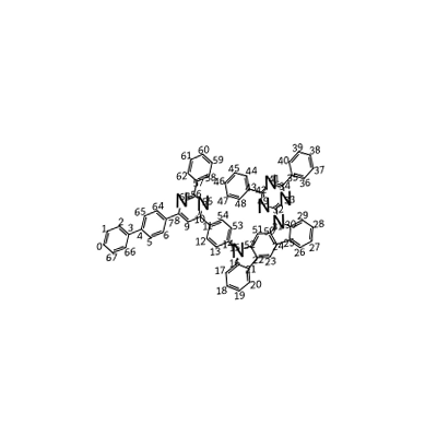 c1ccc(-c2ccc(-c3cc(-c4ccc(-n5c6ccccc6c6cc7c8ccccc8n(-c8nc(-c9ccccc9)nc(-c9ccccc9)n8)c7cc65)cc4)nc(-c4ccccc4)n3)cc2)cc1